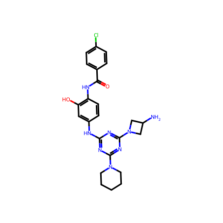 NC1CN(c2nc(Nc3ccc(NC(=O)c4ccc(Cl)cc4)c(O)c3)nc(N3CCCCC3)n2)C1